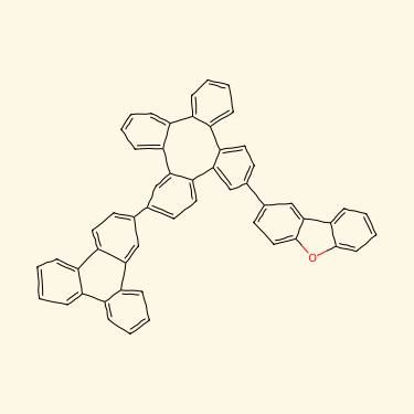 c1ccc2c(c1)-c1ccccc1-c1cc(-c3ccc4c5ccccc5c5ccccc5c4c3)ccc1-c1cc(-c3ccc4oc5ccccc5c4c3)ccc1-2